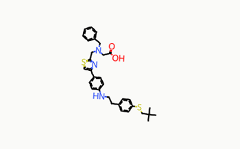 CC(C)(C)CSc1ccc(CCNc2ccc(-c3csc(CN(CC(=O)O)Cc4ccccc4)n3)cc2)cc1